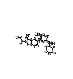 CC(C=O)N1Cc2ccc(-c3nc(NC4CCOCC4)ncc3Cl)cc2C1=O